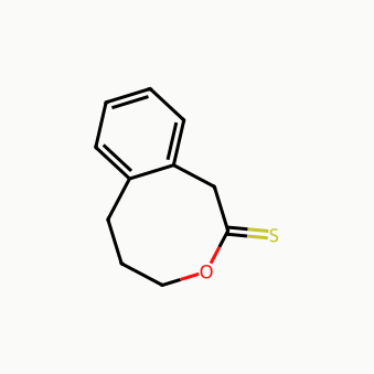 S=C1Cc2ccccc2CCCO1